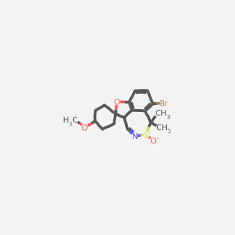 COC1CCC2(CC1)Oc1ccc(Br)c3c1C2C=N[S+]([O-])C3(C)C